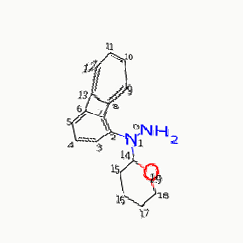 NN(c1cccc2c1-c1ccccc1-2)C1CCCCO1